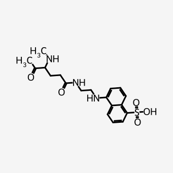 CNC(CCC(=O)NCCNc1cccc2c(S(=O)(=O)O)cccc12)C(C)=O